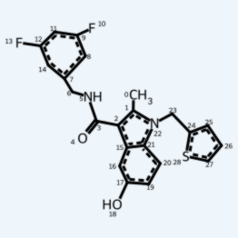 Cc1c(C(=O)NCc2cc(F)cc(F)c2)c2cc(O)ccc2n1Cc1cccs1